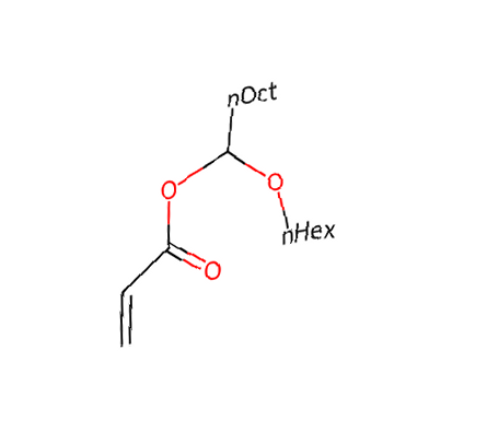 C=CC(=O)OC(CCCCCCCC)OCCCCCC